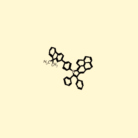 CC1(C)c2ccccc2-c2ccc(-c3ccc(-n4c(-c5ccccc5)c(-c5ccccc5)c5cc6ccc7cccc8ccc(c6c78)c54)cc3)cc21